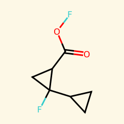 O=C(OF)C1CC1(F)C1CC1